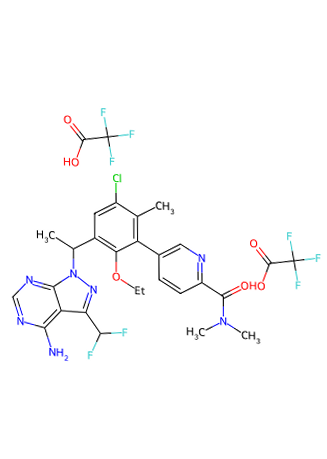 CCOc1c(C(C)n2nc(C(F)F)c3c(N)ncnc32)cc(Cl)c(C)c1-c1ccc(C(=O)N(C)C)nc1.O=C(O)C(F)(F)F.O=C(O)C(F)(F)F